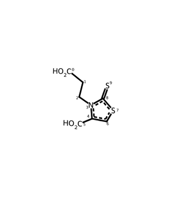 O=C(O)CCn1c(C(=O)O)csc1=S